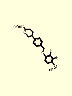 CCCCCC1CCC(c2ccc(COc3ccc(OCCC)c(F)c3F)cc2)CO1